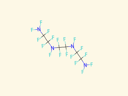 FN(F)C(F)(F)C(F)(F)N(F)C(F)(F)C(F)(F)N(F)C(F)(F)C(F)(F)N(F)F